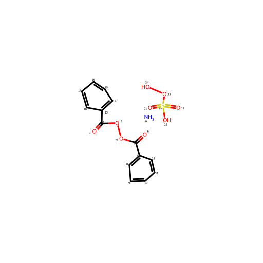 N.O=C(OOC(=O)c1ccccc1)c1ccccc1.O=S(=O)(O)OO